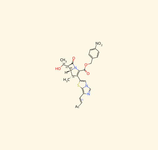 CC(=O)/C=C/c1ncn2cc(C3=C(C(=O)OCc4ccc([N+](=O)[O-])cc4)N4C(=O)[C@H]([C@@H](C)O)[C@H]4[C@H]3C)sc12